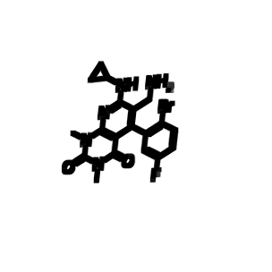 Cn1c(=O)c2c(-c3cc(F)ccc3Br)c(CN)c(NC3CC3)nc2n(C)c1=O